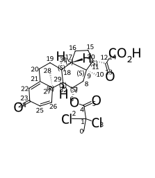 CC(Cl)(Cl)C(=O)O[C@H]1C[C@]2(C)[C@@H](C(=O)C(=O)O)CC[C@H]2[C@@H]2CCC3=CC(=O)C=C[C@]3(C)[C@H]21